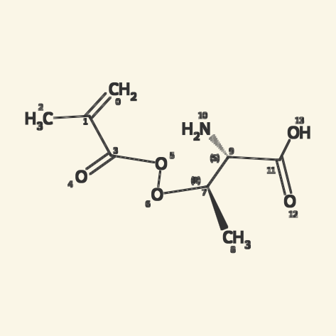 C=C(C)C(=O)OO[C@H](C)[C@H](N)C(=O)O